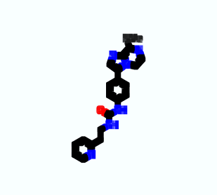 CNc1nccn2c(-c3ccc(NC(=O)NCCc4ccccn4)cc3)cnc12